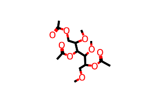 COCC(OC(C)=O)C(OC)C(OC(C)=O)C(COC(C)=O)OC